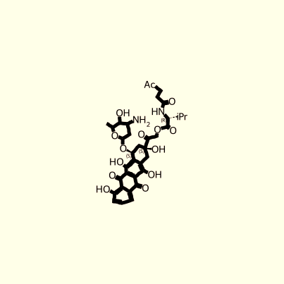 CC(=O)CCC(=O)N[C@@H](C(=O)OCC(=O)[C@]1(O)Cc2c(O)c3c(c(O)c2[C@@H](OC2CC(N)C(O)C(C)O2)C1)C(=O)c1c(O)cccc1C3=O)C(C)C